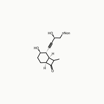 CCCCCCCCCC[C@H](O)C#C[C@@H]1[C@H]2C(C)C(=O)[C@H]2CC[C@H]1O